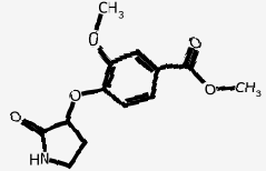 COC(=O)c1ccc(OC2CCNC2=O)c(OC)c1